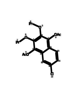 CC(=O)Oc1c(OC(C)C)c(OC(C)C)c(OC(C)=O)c2cc(Cl)ccc12